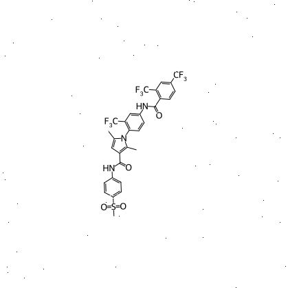 Cc1cc(C(=O)Nc2ccc(S(C)(=O)=O)cc2)c(C)n1-c1ccc(NC(=O)c2ccc(C(F)(F)F)cc2C(F)(F)F)cc1C(F)(F)F